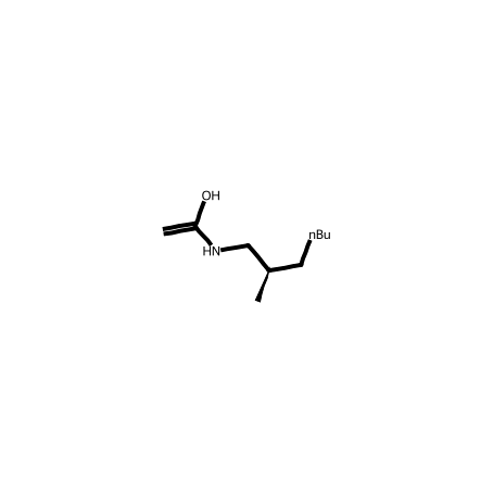 C=C(O)NC[C@H](C)CCCCC